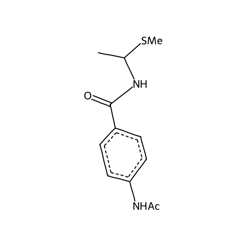 CSC(C)NC(=O)c1ccc(NC(C)=O)cc1